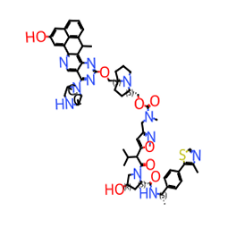 Cc1ncsc1-c1ccc([C@H](C)NC(=O)[C@@H]2C[C@@H](O)CN2C(=O)C(c2cc(CN(C)C(=O)OC[C@@H]3CC[C@]4(COc5nc(N6CC7CCCC6CN7)c6cnc7c(c6n5)C(C)c5cccc6cc(O)cc-7c56)CCCN34)no2)C(C)C)cc1